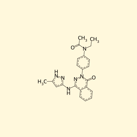 CCN(C(C)=O)c1ccc(-n2nc(Nc3cc(C)[nH]n3)c3ccccc3c2=O)cc1